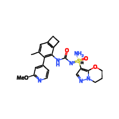 COc1cc(-c2c(C)cc3c(c2NC(=O)N=[S@@](N)(=O)c2cnn4c2OCCC4)CC3)ccn1